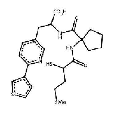 CSCCC(S)C(=O)NC1(C(=O)NC(Cc2ccc(-c3ccsc3)nc2)C(=O)O)CCCC1